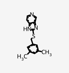 Cc1cc(C)cc(CSc2nc3cnccc3[nH]2)c1